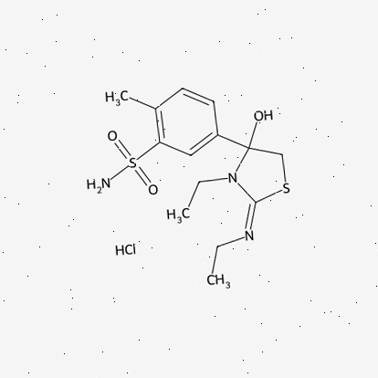 CCN=C1SCC(O)(c2ccc(C)c(S(N)(=O)=O)c2)N1CC.Cl